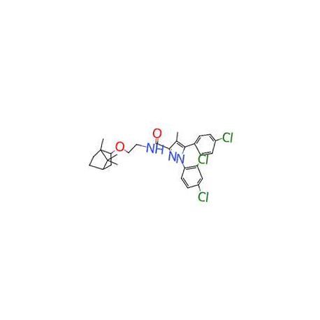 Cc1c(C(=O)NCCOC2CC3CCC2(C)C3(C)C)nn(-c2ccc(Cl)cc2Cl)c1-c1ccc(Cl)cc1